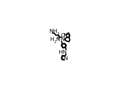 NCCCC[C@H](N)C(=O)N(Cc1ccc(CNCc2ccccn2)cc1)C1CCCc2cccnc21